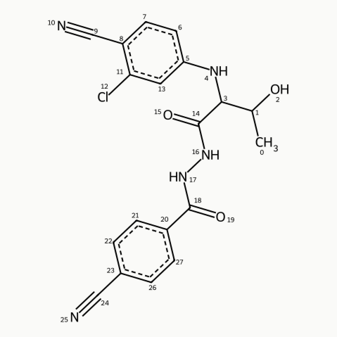 CC(O)C(Nc1ccc(C#N)c(Cl)c1)C(=O)NNC(=O)c1ccc(C#N)cc1